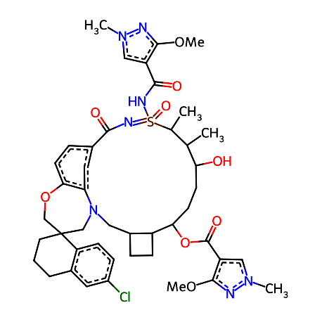 COc1nn(C)cc1C(=O)NS1(=O)=NC(=O)c2ccc3c(c2)N(CC2CCC2C(OC(=O)c2cn(C)nc2OC)CCC(O)C(C)C1C)CC1(CCCc2cc(Cl)ccc21)CO3